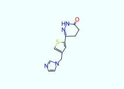 O=C1CCC(c2cc(Cn3ccnc3)cs2)=NN1